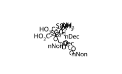 CCCCCCCCCCCCOC(=O)C(CC(=O)O)S(=O)(=O)O.CCCCCCCCCCCCOC(=O)C(CC(=O)O)S(=O)(=O)O.CCCCCCCCCOC(=O)CCC(=O)OCCCCCCCCC.N.N